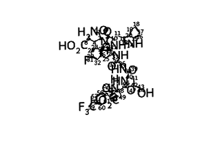 NC(=O)[C@H](CCC(=O)O)NC(=O)[C@H](Cc1c[nH]c2ccccc12)NC(=O)[C@H](Cc1cccc(F)c1)NC(=O)CNC(=O)[C@H](CCCO)NC(=O)[C@@H](CC(=O)O)NS(=O)(=O)c1ccc(C(F)(F)F)cc1